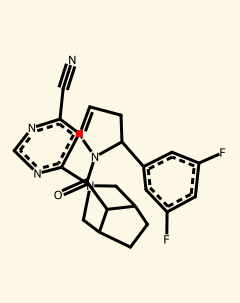 N#Cc1cc(N2CC3CCC(C2)C3C(=O)N2N=CCC2c2cc(F)cc(F)c2)ncn1